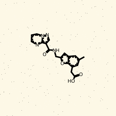 Cc1cc(CC(=O)O)c2oc(CNC(=O)c3cnn4cccnc34)cc2c1